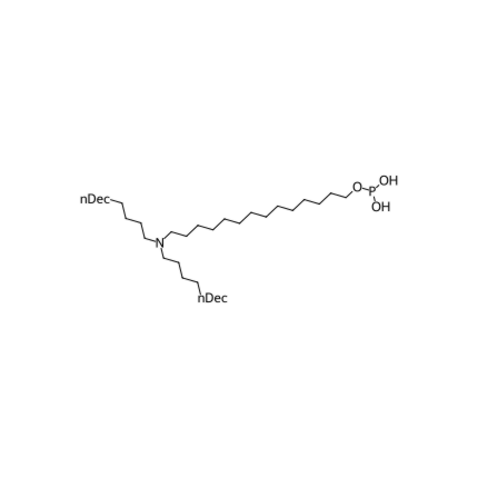 CCCCCCCCCCCCCCN(CCCCCCCCCCCCCC)CCCCCCCCCCCCCCOP(O)O